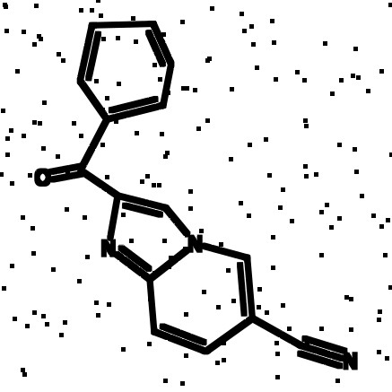 N#Cc1ccc2nc(C(=O)c3ccccc3)cn2c1